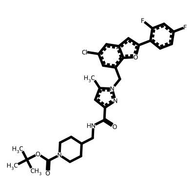 Cc1cc(C(=O)NCC2CCN(C(=O)OC(C)(C)C)CC2)nn1Cc1cc(Cl)cc2cc(-c3ccc(F)cc3F)oc12